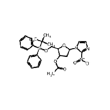 CC(=O)OC1CC(n2ccnc2[N+](=O)[O-])OC1CO[Si](c1ccccc1)(c1ccccc1)C(C)(C)C